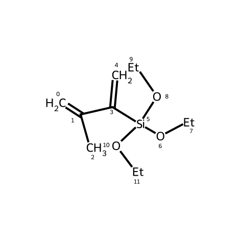 C=C(C)C(=C)[Si](OCC)(OCC)OCC